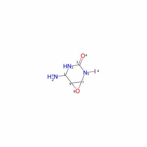 NC1NC(=O)N(I)C2OC12